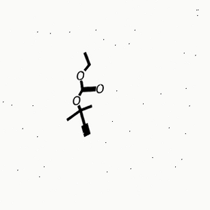 C#CC(C)(C)OC(=O)OCC